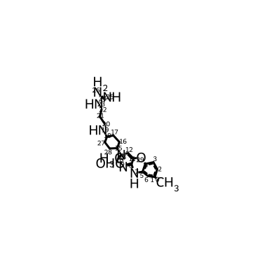 Cc1ccc2c(c1)NC(=N/C=O)/C(=C\N(C)C1CCC(NCCCNC(=N)N)CC1)O2